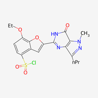 CCCc1nn(C)c2c(=O)[nH]c(-c3cc4c(S(=O)(=O)Cl)ccc(OCC)c4o3)nc12